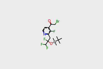 CC(C)(C)[Si](C)(C)OC(F)(Cc1nccc(C(=O)CBr)c1F)C(F)F